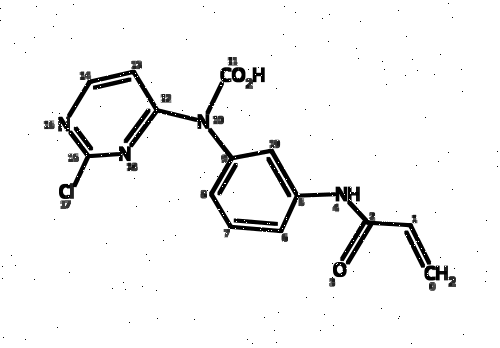 C=CC(=O)Nc1cccc(N(C(=O)O)c2ccnc(Cl)n2)c1